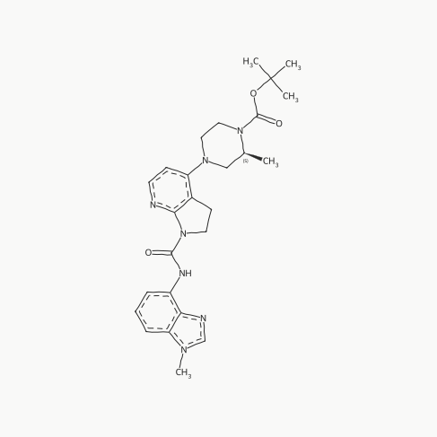 C[C@H]1CN(c2ccnc3c2CCN3C(=O)Nc2cccc3c2ncn3C)CCN1C(=O)OC(C)(C)C